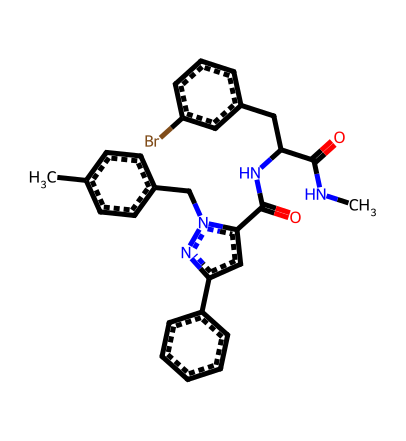 CNC(=O)C(Cc1cccc(Br)c1)NC(=O)c1cc(-c2ccccc2)nn1Cc1ccc(C)cc1